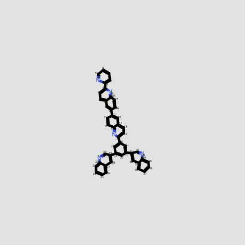 c1ccc(-c2ccc3cc(-c4ccc5nc(-c6cc(-c7cnc8ccccc8c7)cc(-c7cnc8ccccc8c7)c6)ccc5c4)ccc3n2)nc1